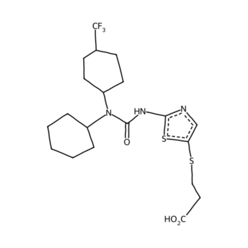 O=C(O)CCSc1cnc(NC(=O)N(C2CCCCC2)C2CCC(C(F)(F)F)CC2)s1